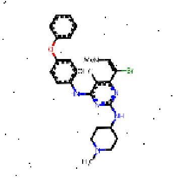 CN/C=C(/Br)c1nc(NC2CCN(C)CC2)nc(Nc2ccc(Oc3ccccc3)cc2)c1C=O